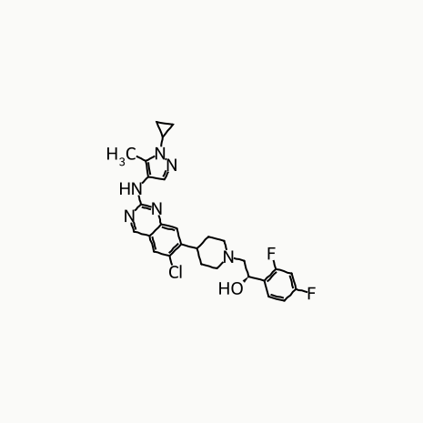 Cc1c(Nc2ncc3cc(Cl)c(C4CCN(C[C@H](O)c5ccc(F)cc5F)CC4)cc3n2)cnn1C1CC1